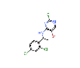 CC(Nc1nc(Cl)ncc1Br)c1ccc(Cl)cc1Cl